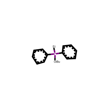 CC[P](OCC(C)C)(c1ccccc1)c1ccccc1